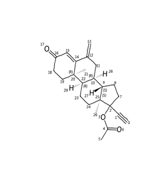 C#CC1(OC(C)=O)CC[C@H]2[C@@H]3CC(=C)C4=CC(=O)CC[C@]4(C)[C@@H]3CC[C@@]21C